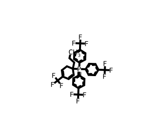 CCCC1([PH](c2ccc(C(F)(F)F)cc2)(c2ccc(C(F)(F)F)cc2)c2ccc(C(F)(F)F)cc2)C=CC(C(F)(F)F)=CC1